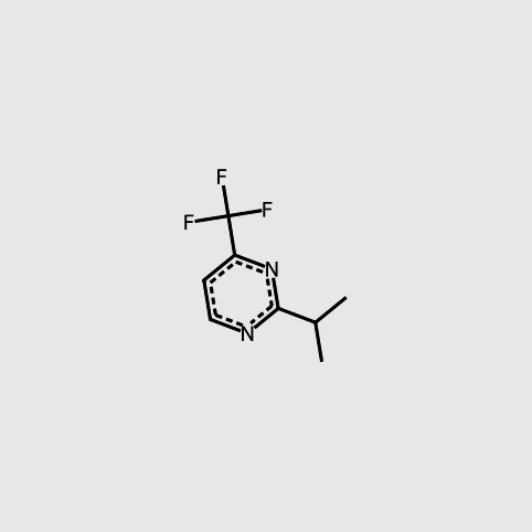 CC(C)c1nccc(C(F)(F)F)n1